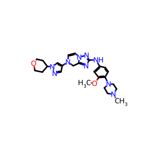 COc1cc(Nc2nc3n(n2)C=CN(c2cnn(C4CCOCC4)c2)C3)ccc1N1CCN(C)CC1